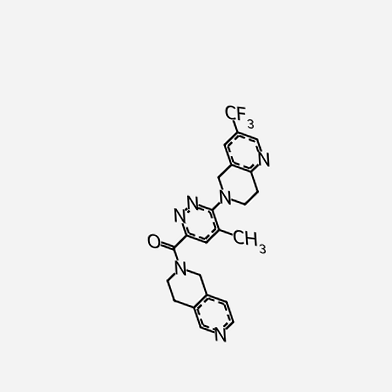 Cc1cc(C(=O)N2CCc3cnccc3C2)nnc1N1CCc2ncc(C(F)(F)F)cc2C1